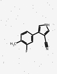 Cc1ccc(-c2c[nH]cc2C#N)cc1F